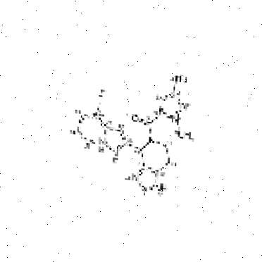 Cn1nc(C(C)(C)C)cc1C(=O)N1CCc2[nH]cnc2C1c1cc2c(F)cccn2n1